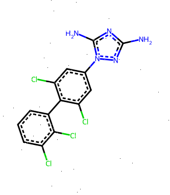 Nc1nc(N)n(-c2cc(Cl)c(-c3cccc(Cl)c3Cl)c(Cl)c2)n1